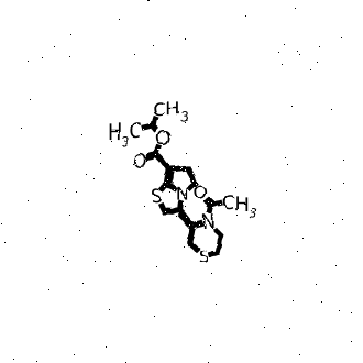 CC(=O)N1CCSCC1=C1CSC2=C(C(=O)OC(C)C)CCN12